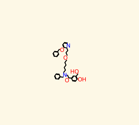 O=C(CN(CCCCCCOCCCc1ncccc1OCc1ccccc1)Cc1ccccc1)c1ccc(O)c(CO)c1